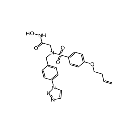 C=CCCOc1ccc(S(=O)(=O)N(CC(=O)NO)Cc2ccc(-n3ccnn3)cc2)cc1